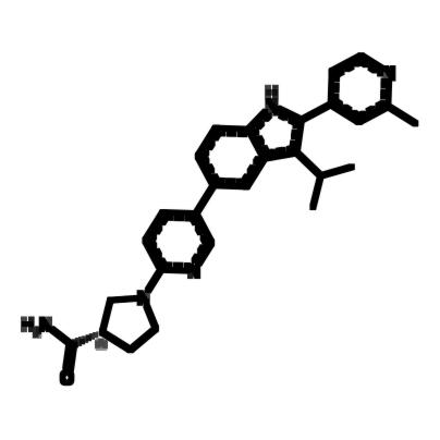 Cc1cc(-c2[nH]c3ccc(-c4ccc(N5CC[C@H](C(N)=O)C5)nc4)cc3c2C(C)C)ccn1